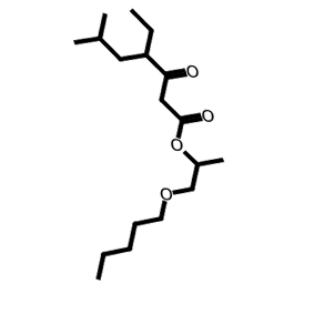 CCCCCOCC(C)OC(=O)CC(=O)C(CC)CC(C)C